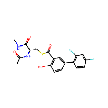 CNC(=O)[C@H](CSC(=O)c1cc(-c2ccc(F)cc2F)ccc1O)NC(C)=O